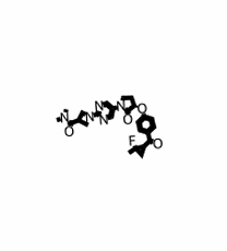 CN(C)C(=O)C1CN(c2ncc(N3CC[C@@H](Oc4ccc(C(=O)C5CC5(C)F)cc4)C3=O)cn2)C1